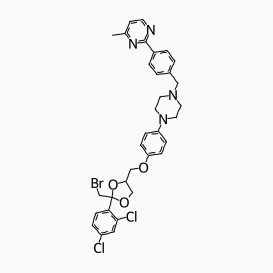 Cc1ccnc(-c2ccc(CN3CCN(c4ccc(OCC5COC(CBr)(c6ccc(Cl)cc6Cl)O5)cc4)CC3)cc2)n1